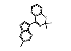 Cc1cnc2c(C3=NC(C)(C)Oc4ccccc43)cnn2c1